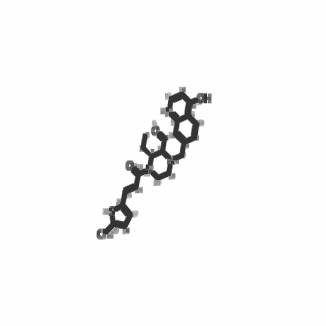 CC[C@H]1C(C=O)N(Cc2ccc3c(O)ccnc3c2)CCN1C(=O)C=Cc1ccc(Cl)s1